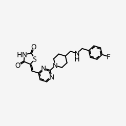 O=C1NC(=O)C(=Cc2ccnc(N3CCC(CNCc4ccc(F)cc4)CC3)n2)S1